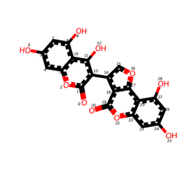 O=c1oc2cc(O)cc(O)c2c(O)c1-c1coc2c1c(=O)oc1cc(O)cc(O)c12